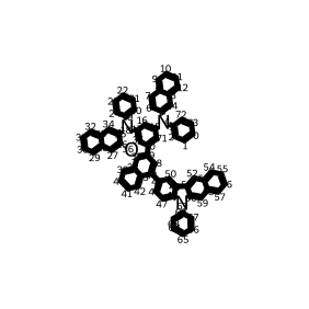 c1ccc(N(c2ccc3ccccc3c2)c2cc(N(c3ccccc3)c3ccc4ccccc4c3)c3oc4c5ccccc5c(-c5ccc6c(c5)c5cc7ccccc7cc5n6-c5ccccc5)cc4c3c2)cc1